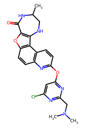 CC1CNc2c(oc3ccc4nc(Oc5cc(Cl)nc(CN(C)C)n5)ccc4c23)C(=O)N1